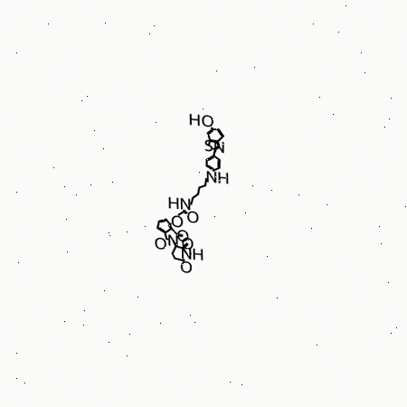 O=C(COc1cccc2c1C(=O)N(C1CCC(=O)NC1=O)C2=O)NCCCCCCNc1ccc(-c2nc3ccc(O)cc3s2)cc1